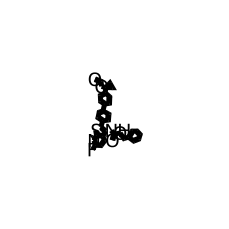 O=COC1(c2ccc(-c3ccc(-c4sc5nc(F)ccc5c4NC(=O)OCc4ccccc4)cc3)cc2)CC1